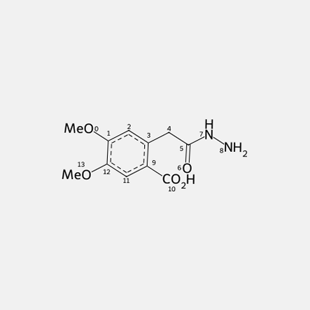 COc1cc(CC(=O)NN)c(C(=O)O)cc1OC